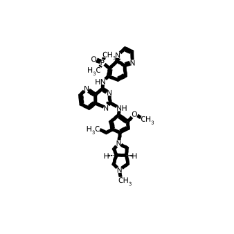 CCc1cc(Nc2nc(Nc3ccc4nccnc4c3P(C)(C)=O)c3ncccc3n2)c(OC)cc1N1C[C@H]2CN(C)C[C@H]2C1